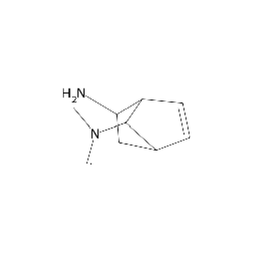 [CH2]N(C)C1C2C=CC1C(N)C2